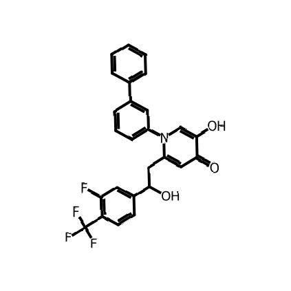 O=c1cc(CC(O)c2ccc(C(F)(F)F)c(F)c2)n(-c2cccc(-c3ccccc3)c2)cc1O